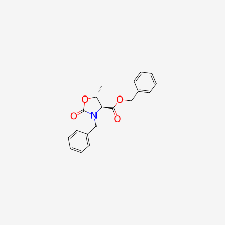 C[C@H]1OC(=O)N(Cc2ccccc2)[C@@H]1C(=O)OCc1ccccc1